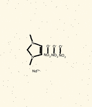 CN1C=CN(C)C1.O=[N+]([O-])[O-].O=[N+]([O-])[O-].O=[N+]([O-])[O-].[Nd+3]